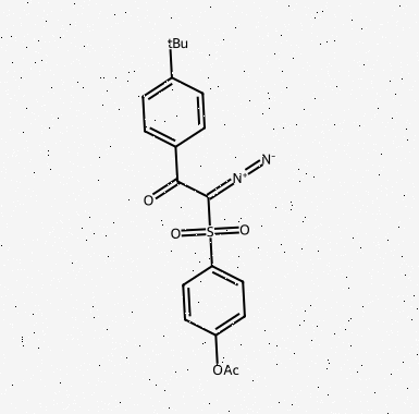 CC(=O)Oc1ccc(S(=O)(=O)C(=[N+]=[N-])C(=O)c2ccc(C(C)(C)C)cc2)cc1